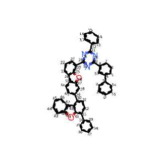 c1ccc(-c2cccc(-c3nc(-c4ccccc4)nc(-c4cccc5c4oc4cc(-c6ccc(-c7ccccc7)c7oc8ccccc8c67)ccc45)n3)c2)cc1